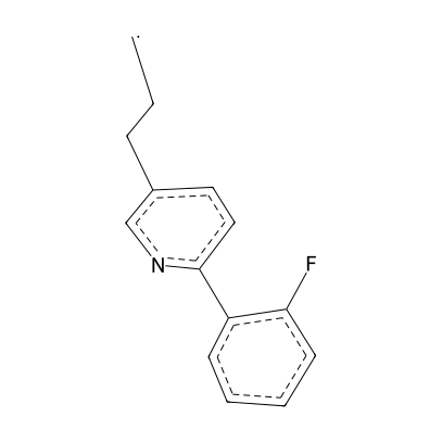 [CH2]CCc1ccc(-c2ccccc2F)nc1